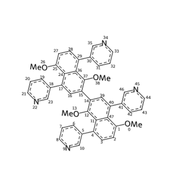 COc1ccc(-c2cccnc2)c2c(OC)c(-c3cc(-c4cccnc4)c4c(OC)ccc(-c5cccnc5)c4c3OC)cc(-c3cccnc3)c12